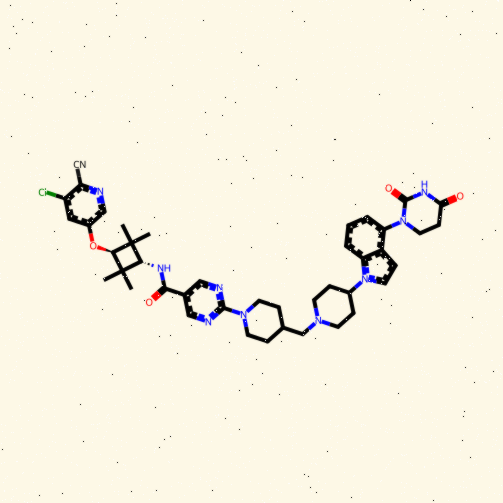 CC1(C)[C@H](NC(=O)c2cnc(N3CCC(CN4CCC(n5ccc6c(N7CCC(=O)NC7=O)cccc65)CC4)CC3)nc2)C(C)(C)[C@H]1Oc1cnc(C#N)c(Cl)c1